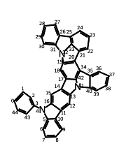 c1ccc(-n2c3ccccc3c3cc4c(cc32)c2cc3c(c5cccc6c7ccccc7n3c65)c3c5ccccc5n4c23)cc1